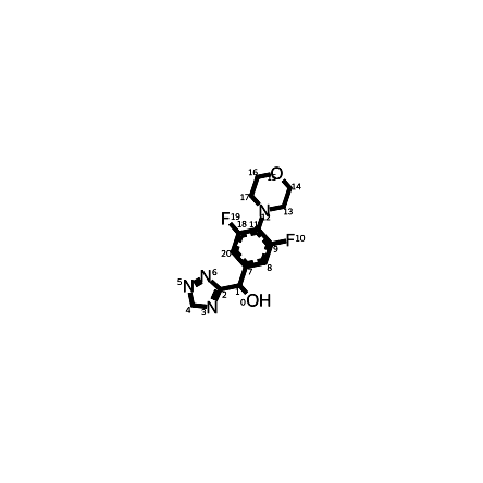 OC(C1=NCN=N1)c1cc(F)c(N2CCOCC2)c(F)c1